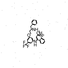 Cc1cc(Nc2cc(OCCC(N)Cc3ccccc3)cc(C(F)(F)F)c2)c2ccccc2n1